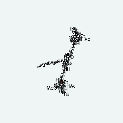 C#CCOCCOCCOCCOCCC(=O)N[C@H](CCC(=O)NCCCCCCNC(=O)O[C@H]1[C@@H]([C@@H](NC(C)=O)C(CC)CC)[C@H](NC(=O)OC(C)(C)C)C[C@@H]1C(=O)OC)C(=O)NCC(=O)NCCCCCCNC(=O)O[C@H]1[C@@H]([C@@H](NC(C)=O)C(CC)CC)[C@H](NC(=O)OC(C)(C)C)C[C@@H]1C(=O)OC